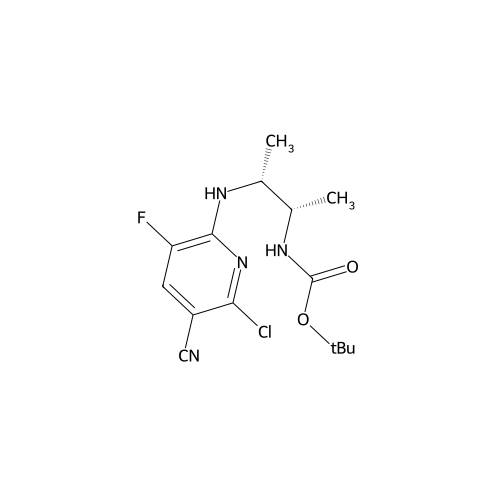 C[C@H](NC(=O)OC(C)(C)C)[C@@H](C)Nc1nc(Cl)c(C#N)cc1F